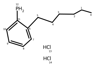 CCCCCCc1ccccc1P.Cl.Cl